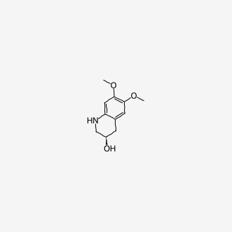 COc1cc2c(cc1OC)NC[C@H](O)C2